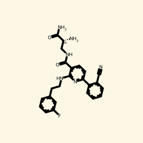 N#Cc1ccccc1-c1ccc(C(=O)NC[C@@H](N)C(N)=O)c(NCCc2cccc(F)c2)n1